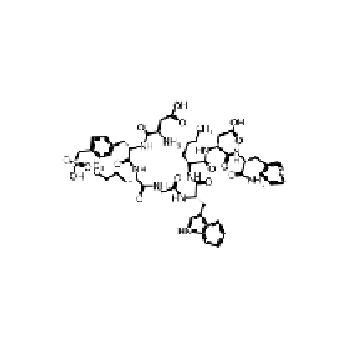 CCCC[C@H](NC(=O)[C@H](Cc1ccc(CS(=O)(=O)O)cc1)NC(=O)[C@H](N)CC(=O)O)C(=O)NCC(=O)N[C@@H](Cc1c[nH]c2ccccc12)C(=O)N[C@@H](CCCC)C(=O)N[C@@H](CC(=O)O)C(=O)N[C@@H](Cc1ccccc1)C(N)=O